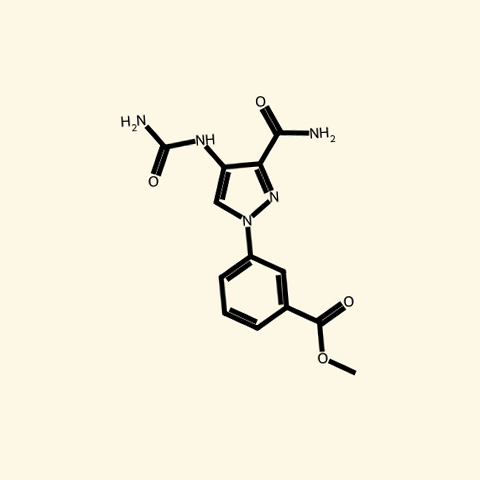 COC(=O)c1cccc(-n2cc(NC(N)=O)c(C(N)=O)n2)c1